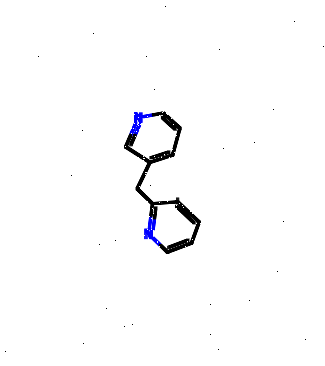 [c]1cccnc1Cc1cccnc1